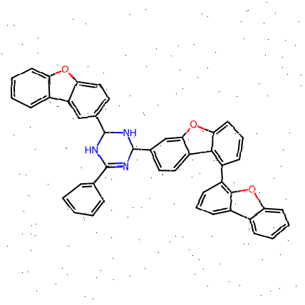 c1ccc(C2=NC(c3ccc4c(c3)oc3cccc(-c5cccc6c5oc5ccccc56)c34)NC(c3ccc4oc5ccccc5c4c3)N2)cc1